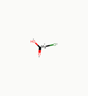 O=[C](O)[Mg][Cl]